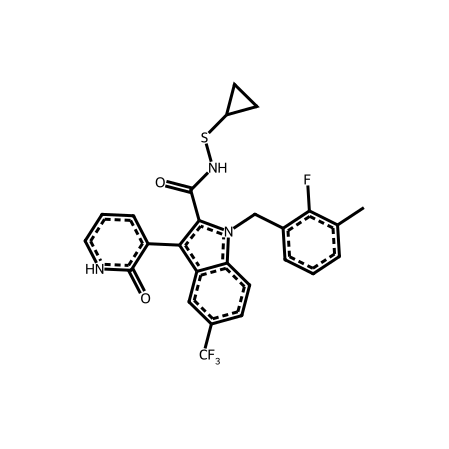 Cc1cccc(Cn2c(C(=O)NSC3CC3)c(-c3ccc[nH]c3=O)c3cc(C(F)(F)F)ccc32)c1F